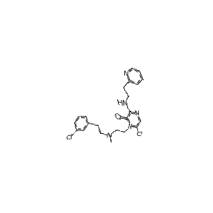 CN(CCc1cccc(Cl)c1)CCn1c(Cl)cnc(NCCc2ccccn2)c1=O